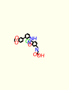 O=C(O)CN=Cc1ccc2c(Nc3cccc(-c4ccc5c(c4)OCCO5)c3Cl)noc2c1